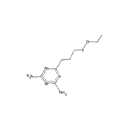 CCOSCCCc1nc(N)nc(N)n1